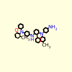 Cc1ccc(N(c2ccc(N)cc2)c2cccc(Nc3ccc(N4C5=C(C=CCC5C)Oc5ccccc54)cc3)c2-c2ccccc2)cc1